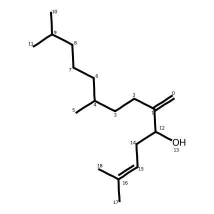 C=C(CCC(C)CCCC(C)C)C(O)CC=C(C)C